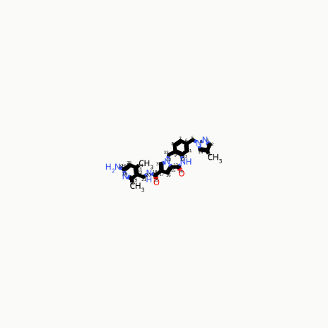 Cc1cnn(Cc2ccc3c(c2)NC(=O)c2cc(C(=O)NCc4c(C)cc(N)nc4C)cn2C3)c1